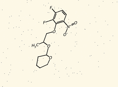 CC(COc1c([N+](=O)[O-])ccc(F)c1F)OC1CCCCO1